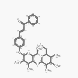 CC(=O)OCC1OC(OC2C(COC(C)=O)OC(Oc3ccc(C=CC(=O)c4ccccc4)cc3)C(OC(C)=O)C2OC(C)=O)C(OC(C)=O)C(OC(C)=O)C1OC(C)=O